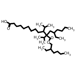 CCCCC(CC)COC(=O)C(CC(CC)CCCC)(C(C)C)C(CCCCCCCCC(=O)O)C(C)C